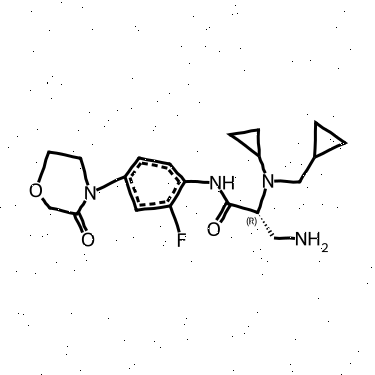 NC[C@H](C(=O)Nc1ccc(N2CCOCC2=O)cc1F)N(CC1CC1)C1CC1